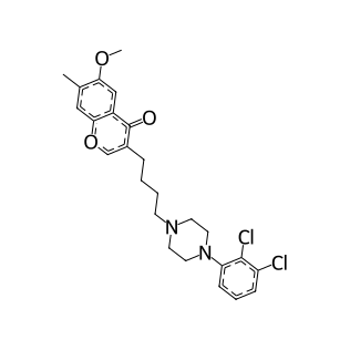 COc1cc2c(=O)c(CCCCN3CCN(c4cccc(Cl)c4Cl)CC3)coc2cc1C